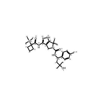 CC(C)(O)C[C@@H](NC(=O)N1Cc2c(NC(=O)C3([Si](C)(C)C)CCC3)n[nH]c2C1(C)C)c1ccc(F)cc1